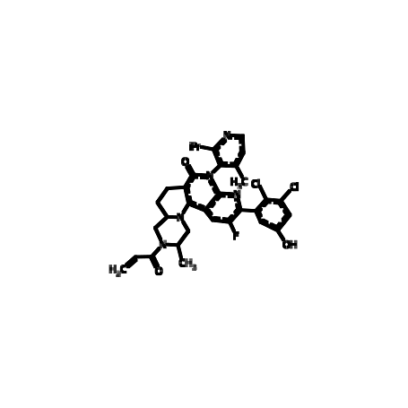 C=CC(=O)N1CC2CCc3c(c4cc(F)c(-c5cc(O)cc(Cl)c5Cl)nc4n(-c4c(C)ccnc4C(C)C)c3=O)N2CC1C